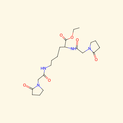 CCOC(=O)C(CCCCNC(=O)CN1CCCC1=O)NC(=O)CN1CCCC1=O